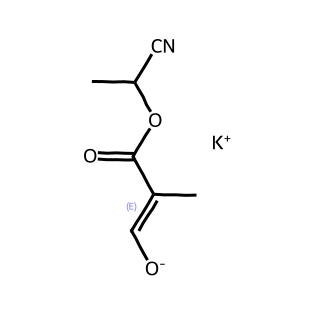 C/C(=C\[O-])C(=O)OC(C)C#N.[K+]